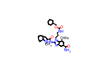 COc1cc(C(N)=O)cc2nc(NC(=O)c3cc4ccccc4n3C)n(CCCNC(=O)OCc3ccccc3)c12